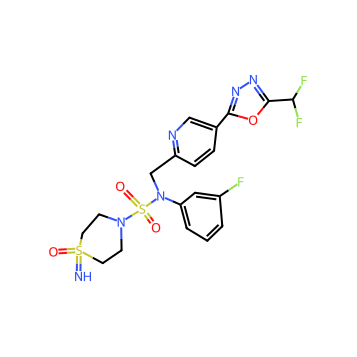 N=S1(=O)CCN(S(=O)(=O)N(Cc2ccc(-c3nnc(C(F)F)o3)cn2)c2cccc(F)c2)CC1